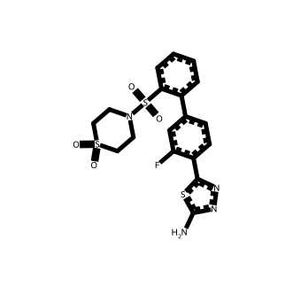 Nc1nnc(-c2ccc(-c3ccccc3S(=O)(=O)N3CCS(=O)(=O)CC3)cc2F)s1